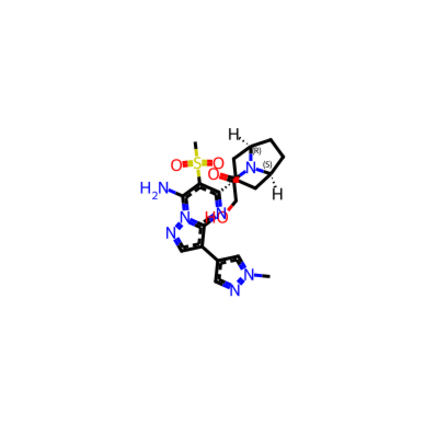 Cn1cc(-c2cnn3c(N)c(S(C)(=O)=O)c([C@@H]4C[C@H]5CC[C@@H](C4)N5C(=O)CO)nc23)cn1